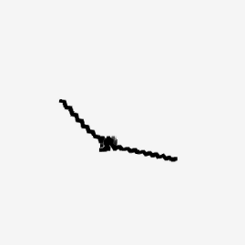 CCCCCCCCCCCCCCCCCCn1cc[n+](CCCCCCCCCCCCCCC)c1CC